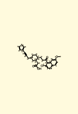 COc1ccc2ncc(Cl)c(C(=O)CC[C@@H]3CCN(CC#Cc4ccsc4)C[C@@H]3CC(=O)O)c2c1